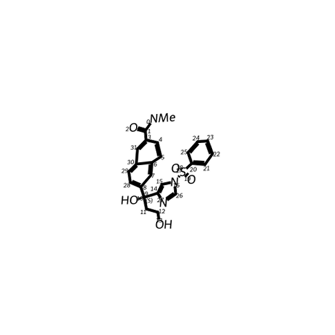 CNC(=O)c1ccc2cc([C@@](O)(CCO)c3cn(S(=O)(=O)c4ccccc4)cn3)ccc2c1